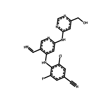 N#Cc1cc(F)c(Nc2cc(Nc3cc(CO)ncn3)ncc2C=N)c(Cl)c1